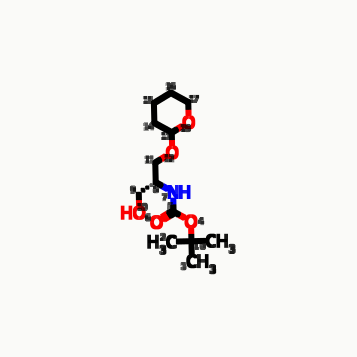 CC(C)(C)OC(=O)N[C@H](CO)COC1CCCCO1